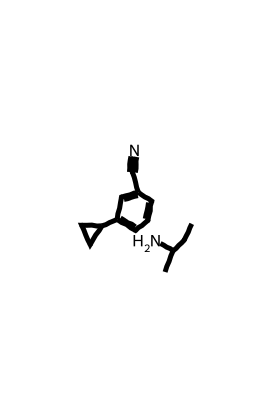 CCC(C)N.N#Cc1cccc(C2CC2)c1